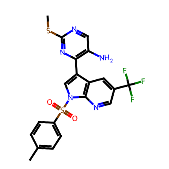 CSc1ncc(N)c(-c2cn(S(=O)(=O)c3ccc(C)cc3)c3ncc(C(F)(F)F)cc23)n1